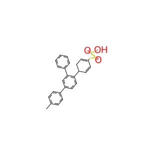 Cc1ccc(-c2ccc(C3C=CC(S(=O)(=O)O)=CC3)c(-c3ccccc3)c2)cc1